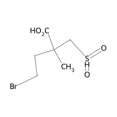 CC(CCBr)(C[SH](=O)=O)C(=O)O